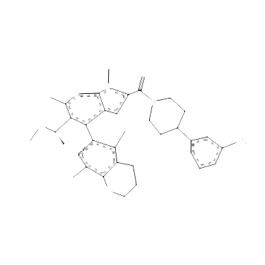 Cc1nc2c(cc(C(=O)N3CCC(c4cccc(C#N)c4)CC3)n2C)c(-c2cc(F)c3c(c2C)CCCO3)c1[C@H](OC(C)(C)C)C(=O)O